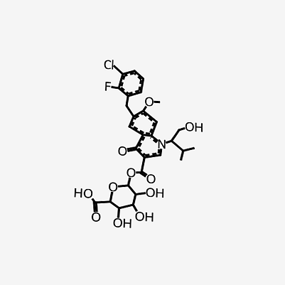 COc1cc2c(cc1Cc1cccc(Cl)c1F)c(=O)c(C(=O)OC1OC(C(=O)O)C(O)C(O)C1O)cn2C(CO)C(C)C